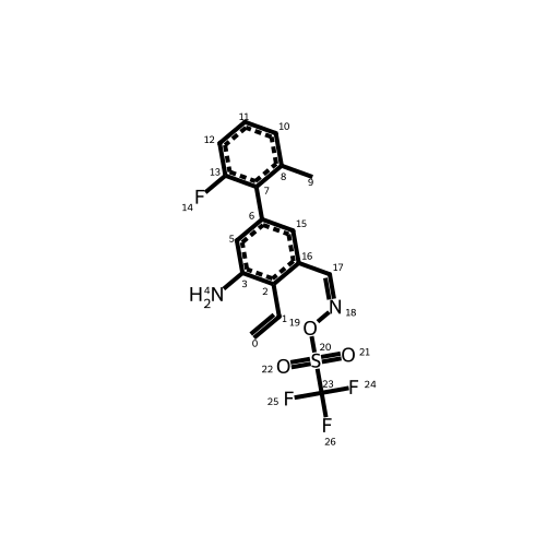 C=Cc1c(N)cc(-c2c(C)cccc2F)cc1/C=N\OS(=O)(=O)C(F)(F)F